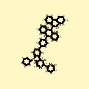 c1ccc(-n2c3ccc(-c4ccc(-c5c6ccccc6c(-c6cc7ccccc7c7ccccc67)c6ccccc56)cc4)cc3c3cc(-c4ccccn4)ncc32)cc1